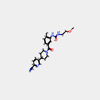 COCCNC(=O)Nc1cc(C(=O)N2CCC(c3ccc(C#N)nc3)CC2)ccc1C